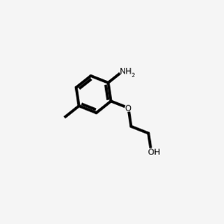 Cc1ccc(N)c(OCCO)c1